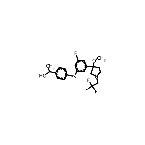 COC1(c2cc(F)cc(Sc3ccc(C(C)O)cc3)c2)CCN(CC(F)(F)F)C1